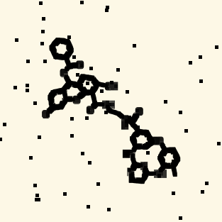 Cc1ccc(O)cc1Nc1ccnc(Nc2cccc(C(=O)NCCNC(=O)c3c(O)ccc4c(OC(=O)c5ccccc5)c5ccc(=O)cc-5oc34)c2)n1